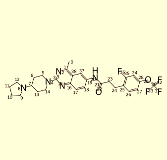 Cc1nc(N2CCC(N3CCCC3)CC2)nc2ccc(NC(=O)CCc3ccc(OC(F)(F)F)cc3F)cc12